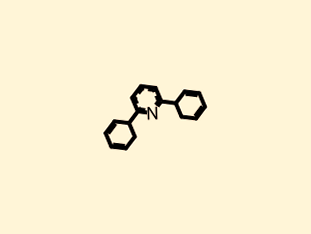 C1=CCC(c2cccc(C3C=CC=CC3)n2)C=C1